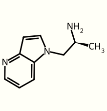 C[C@H](N)Cn1ccc2ncccc21